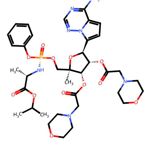 CC(C)OC(=O)[C@H](C)N[P@](=O)(OC[C@@]1(C)O[C@@H](c2ccc3c(N)ncnn23)[C@H](OC(=O)CN2CCOCC2)[C@@H]1OC(=O)CN1CCOCC1)Oc1ccccc1